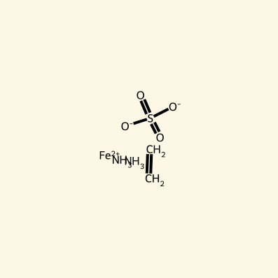 C=C.N.N.O=S(=O)([O-])[O-].[Fe+2]